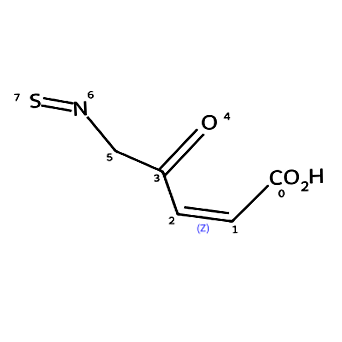 O=C(O)/C=C\C(=O)CN=S